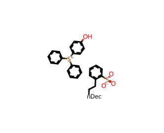 CCCCCCCCCCCCc1ccccc1S(=O)(=O)[O-].Oc1ccc([S+](c2ccccc2)c2ccccc2)cc1